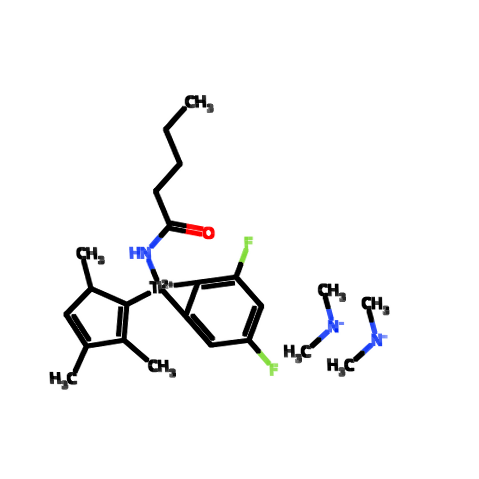 CCCCC(=O)[NH][Ti+2]1([C]2=C(C)C(C)=CC2C)[c]2cc(F)cc(F)[c]21.C[N-]C.C[N-]C